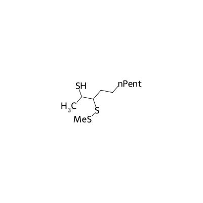 CCCCCCCC(SSC)C(C)S